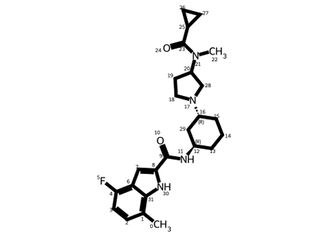 Cc1ccc(F)c2cc(C(=O)N[C@@H]3CCC[C@@H](N4CCC(N(C)C(=O)C5CC5)C4)C3)[nH]c12